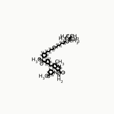 COc1cccc(Nc2c(C(N)=O)cnc3c(C)cc(Cc4cccc(C(=O)N(C)c5ccc(CCCCOCCCCCCO[Si](C)(C)C(C)(C)C)cc5)c4)cc23)c1